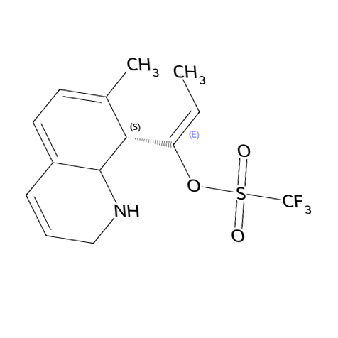 C/C=C(/OS(=O)(=O)C(F)(F)F)[C@H]1C(C)=CC=C2C=CCNC21